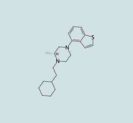 C[C@@H]1CN(c2cccc3sccc23)CCN1CCC1CCCCC1